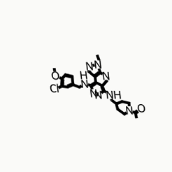 CCn1ncc2c3c(NCc4ccc(OC)c(Cl)c4)nnc(NCC4CCN(C(C)=O)CC4)c3cnc21